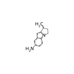 C=C1CCn2c1cc1cc(N)ccc12